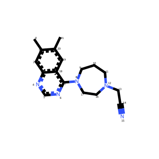 Cc1cc2ncnc(N3CCCN(CC#N)CC3)c2cc1C